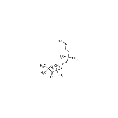 C=NCCC(C)(C)OCCC(C)(C)C(=O)C(C)(C)C